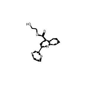 O=C(OCCO)c1cc(-c2cnccn2)nc2ccccc12